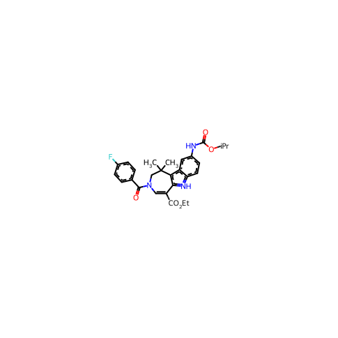 CCOC(=O)C1=CN(C(=O)c2ccc(F)cc2)CC(C)(C)c2c1[nH]c1ccc(NC(=O)OC(C)C)cc21